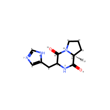 O=C1NC(Cc2cnc[nH]2)C(=O)N2CCC[C@@H]12